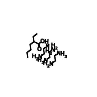 CCCCC(CC)C(=O)O.NCCN.NCCN.NCCN